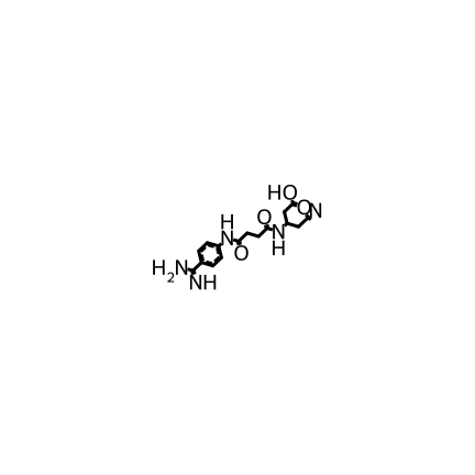 N#CCC(CC(=O)O)NC(=O)CCC(=O)Nc1ccc(C(=N)N)cc1